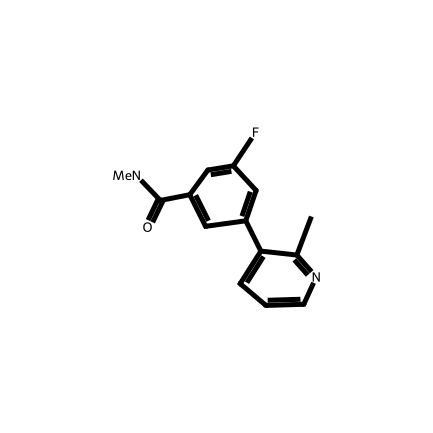 CNC(=O)c1cc(F)cc(-c2cccnc2C)c1